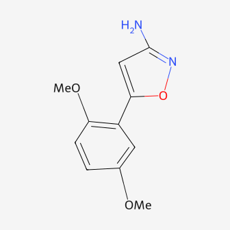 COc1ccc(OC)c(-c2cc(N)no2)c1